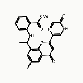 COC(=O)c1ccccc1NC(C)c1cc(C)cc2c(=O)cc(-c3c[nH]c(=O)cn3)oc12